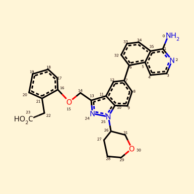 Nc1nccc2c(-c3ccc4c(c3)c(COc3ccccc3CC(=O)O)nn4C3CCCOC3)cccc12